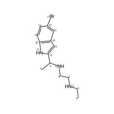 CCNCCNC(C)c1cc2cc(Br)ccc2[nH]1